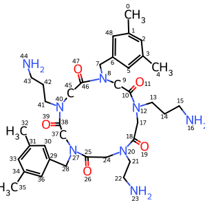 Cc1cc(C)cc(CN2CC(=O)N(CCCN)CC(=O)N(CCN)CC(=O)N(Cc3cc(C)cc(C)c3)CC(=O)N(CCCN)CC2=O)c1